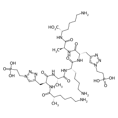 C[C@H](NC(=O)[C@H](Cc1cn(CCP(=O)(O)O)nn1)NC(=O)[C@H](CCCCN)NC(=O)[C@H](C)NC(=O)[C@H](Cc1cn(CCP(=O)(O)O)nn1)NC(=O)[C@@H](C)CCCCN)C(=O)N[C@@H](CCCCN)C(=O)O